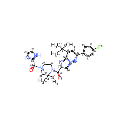 CC(C)(C)c1cc(-c2ccc(F)cc2)nn2cc(C(=O)N3CCN(C(=O)c4ncc[nH]4)CC3(C)C)nc12